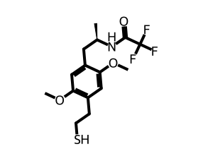 COc1cc(C[C@@H](C)NC(=O)C(F)(F)F)c(OC)cc1CCS